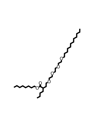 CCCCCCCCCCCCOCCOCCOCCOCCC(CCCC)C(=O)OCCCCCCCC